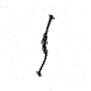 C=C(C)C(=O)OCCCCCCCCCCCCCCCOc1ccc(C(=O)Oc2ccc(OC(=O)c3ccc(OCCCCCCCCCCCCCCCOC(=O)C(=C)C)cc3F)cc2)c(F)c1